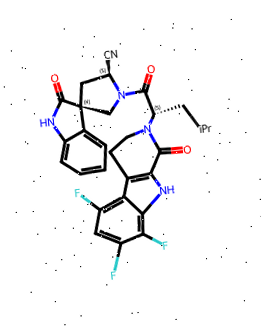 CC(C)C[C@@H](C(=O)N1C[C@]2(C[C@H]1C#N)C(=O)Nc1ccccc12)N1CCc2c([nH]c3c(F)c(F)cc(F)c23)C1=O